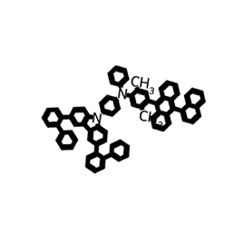 Cc1cc(N(c2ccccc2)c2ccc(-n3c4ccc(-c5ccccc5-c5ccccc5)cc4c4cc(-c5ccccc5-c5ccccc5)ccc43)cc2)c(C)cc1-c1c2ccccc2c(-c2cccc3ccccc23)c2ccccc12